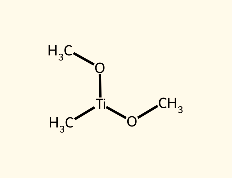 C[O][Ti]([CH3])[O]C